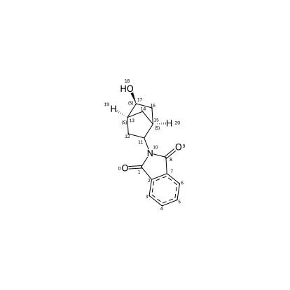 O=C1c2ccccc2C(=O)N1C1C[C@@H]2C[C@H]1C[C@@H]2O